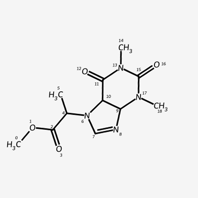 COC(=O)C(C)N1C=NC2C1C(=O)N(C)C(=O)N2C